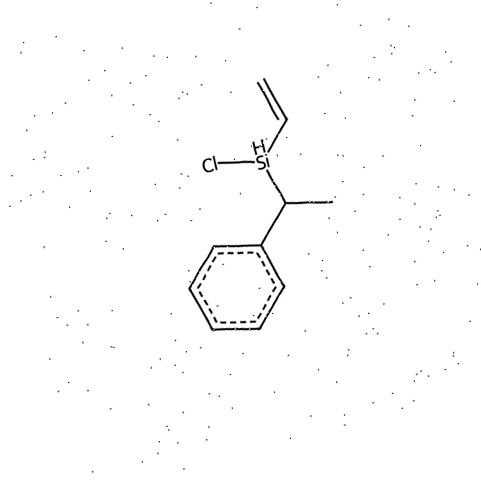 C=C[SiH](Cl)C(C)c1ccccc1